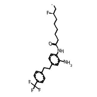 Nc1cc(CCc2ccc(C(F)(F)F)cc2)ccc1NC(=O)CCCCC[C@@H](F)CF